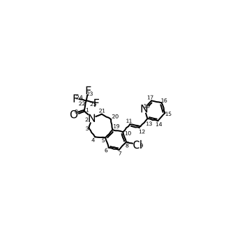 O=C(N1CCc2ccc(Cl)c(/C=C/c3ccccn3)c2CC1)C(F)(F)F